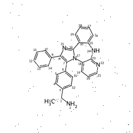 C[C@@H](N)c1ccc(-c2c(-c3ccccc3)nc3n2-c2cccnc2Nc2ccccc2-3)cc1